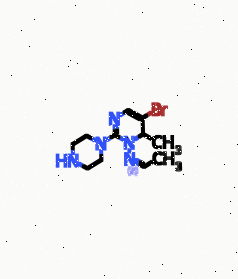 C/C=N\N1C(N2CCNCC2)=NC=C(Br)C1C